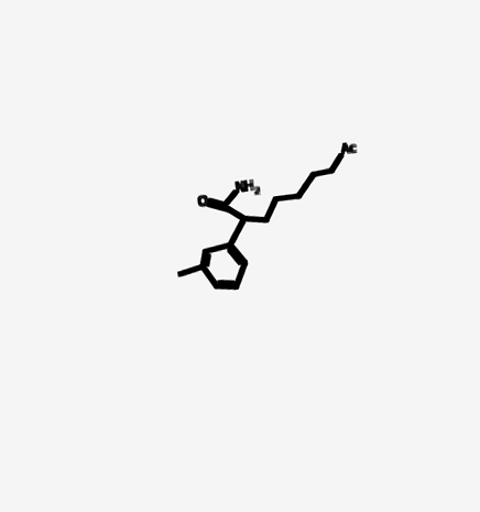 CC(=O)CCCCCC(C(N)=O)c1cccc(C)c1